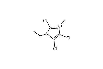 CCn1c(Cl)c(Cl)[n+](C)c1Cl